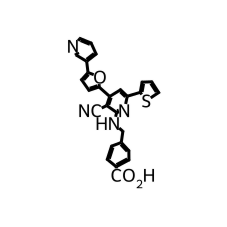 N#Cc1c(-c2ccc(-c3cccnc3)o2)cc(-c2cccs2)nc1NCc1ccc(C(=O)O)cc1